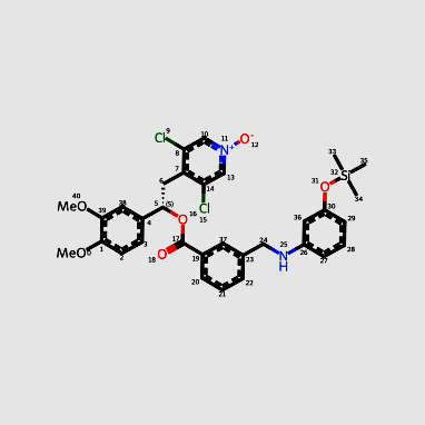 COc1ccc([C@H](Cc2c(Cl)c[n+]([O-])cc2Cl)OC(=O)c2cccc(CNc3cccc(O[Si](C)(C)C)c3)c2)cc1OC